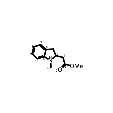 COC(=O)CC1Cc2ccccc2N1C